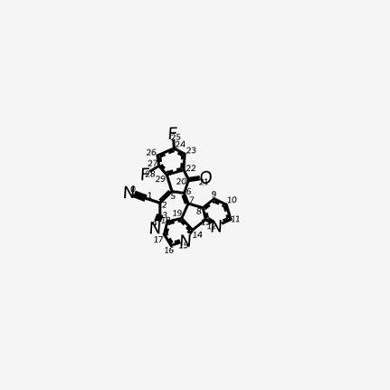 N#CC(C#N)=C1C(=C2c3cccnc3-c3ncccc32)C(=O)c2cc(F)cc(F)c21